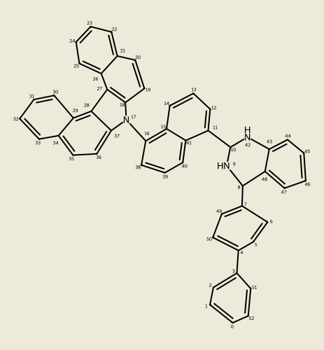 c1ccc(-c2ccc(C3NC(c4cccc5c(-n6c7ccc8ccccc8c7c7c8ccccc8ccc76)cccc45)Nc4ccccc43)cc2)cc1